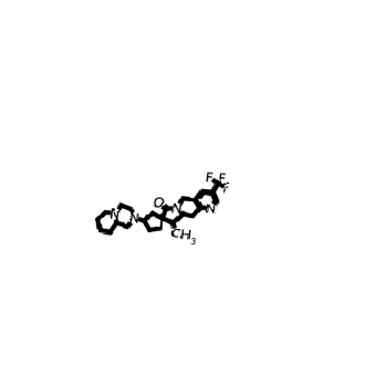 CC1C2Cc3ncc(C(F)(F)F)cc3CN2C(=O)[C@]12CCC(N1CCN3CCCCC3C1)C2